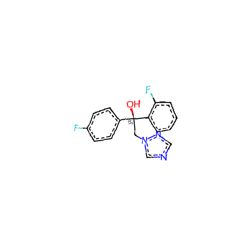 O[C@@](Cn1cncn1)(c1ccc(F)cc1)c1ccccc1F